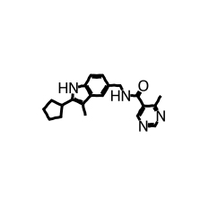 Cc1ncncc1C(=O)NCc1ccc2[nH]c(C3CCCC3)c(C)c2c1